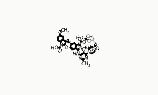 COc1ccc2c(c1)[C@]1(C[C@H]1c1ccc3c(Nc4nc(C)nc(N5CCS(=O)(=O)CC5)c4OC)nn(C(=O)OC(C)(C)C)c3c1)C(=O)N2C(=O)O